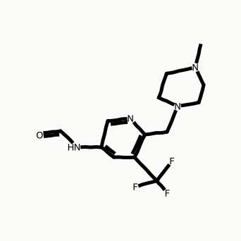 CN1CCN(Cc2ncc(NC=O)cc2C(F)(F)F)CC1